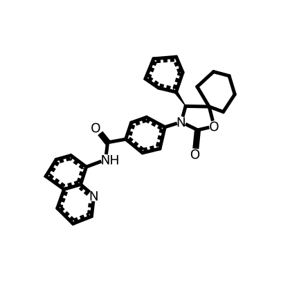 O=C(Nc1cccc2cccnc12)c1ccc(N2C(=O)OC3(CCCCC3)[C@@H]2c2ccccc2)cc1